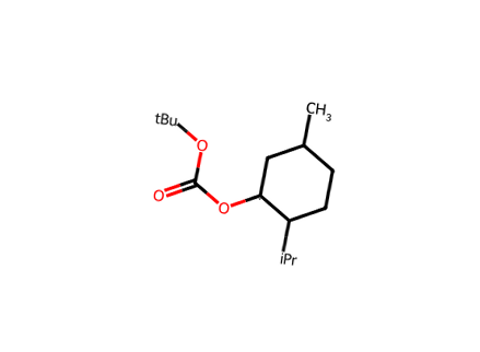 CC1CCC(C(C)C)[C](OC(=O)OC(C)(C)C)C1